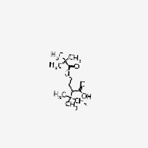 CC(C)(C)C(=O)OCCC(C(=O)O)C(C)(C)C